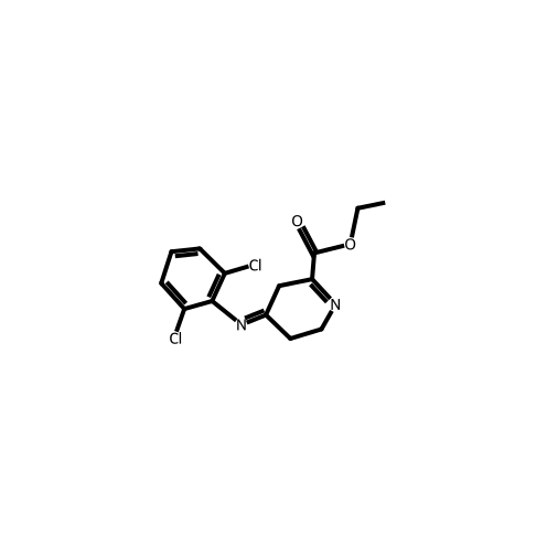 CCOC(=O)C1=NCCC(=Nc2c(Cl)cccc2Cl)C1